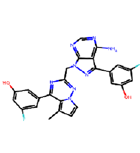 Cc1ccn2nc(Cn3nc(-c4cc(O)cc(F)c4)c4c(N)ncnc43)nc(-c3cc(O)cc(F)c3)c12